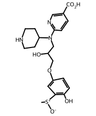 C[S+]([O-])c1cc(OCC(O)CN(c2ccc(C(=O)O)cn2)C2CCNCC2)ccc1O